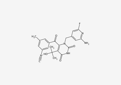 [C-]#[N+]c1cc(C)cc(C(=O)c2c(C(C)(C)O)c(=O)[nH]c(=O)n2Cc2cc(N)nc(F)c2)c1